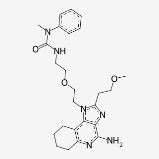 COCCc1nc2c(N)nc3c(c2n1CCOCCNC(=O)N(C)c1ccccc1)CCCC3